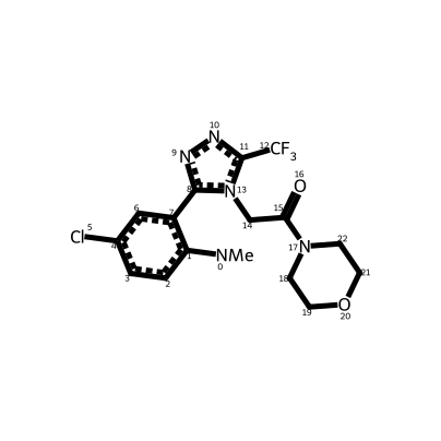 CNc1ccc(Cl)cc1-c1nnc(C(F)(F)F)n1CC(=O)N1CCOCC1